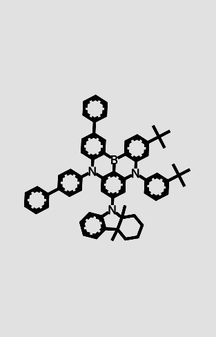 CC(C)(C)c1cccc(N2c3cc(C(C)(C)C)ccc3B3c4cc(-c5ccccc5)ccc4N(c4ccc(-c5ccccc5)cc4)c4cc(N5c6ccccc6C6(C)CCCCC56C)cc2c43)c1